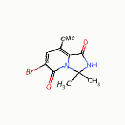 COc1cc(Br)c(=O)n2c1C(=O)NC2(C)C